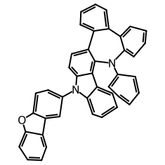 c1ccc(N2c3ccccc3-c3ccccc3-c3ccc4c(c32)c2ccccc2n4-c2ccc3oc4ccccc4c3c2)cc1